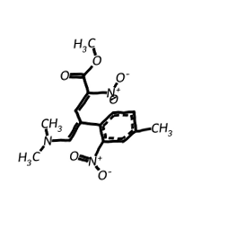 COC(=O)C(=CC(=CN(C)C)c1ccc(C)cc1[N+](=O)[O-])[N+](=O)[O-]